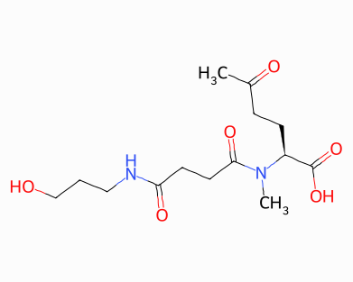 CC(=O)CC[C@@H](C(=O)O)N(C)C(=O)CCC(=O)NCCCO